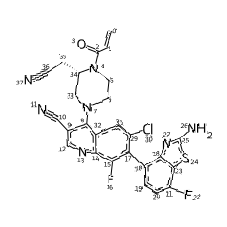 C=CC(=O)N1CCN(c2c(C#N)cnc3c(F)c(-c4ccc(F)c5sc(N)nc45)c(Cl)cc23)C[C@@H]1CC#N